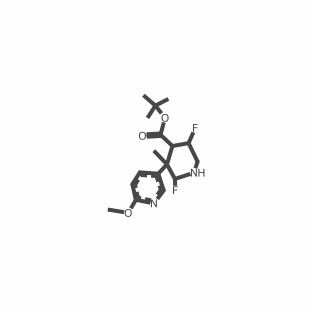 COc1ccc(C2(C)C(F)NCC(F)C2C(=O)OC(C)(C)C)cn1